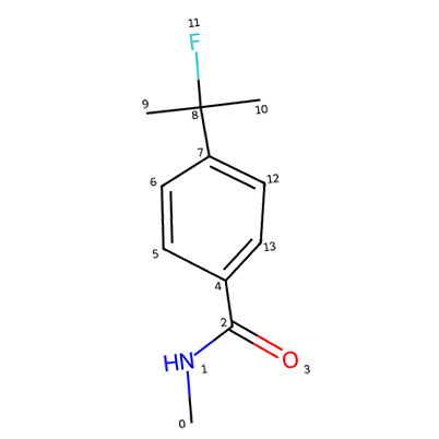 CNC(=O)c1ccc(C(C)(C)F)cc1